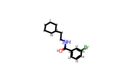 O=C(NCCC1CCCCC1)c1cccc(Br)c1